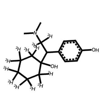 [2H]C([2H])(C(c1ccc(O)cc1)C1(O)C([2H])([2H])C([2H])([2H])C([2H])([2H])C([2H])([2H])C1([2H])[2H])N(C)C